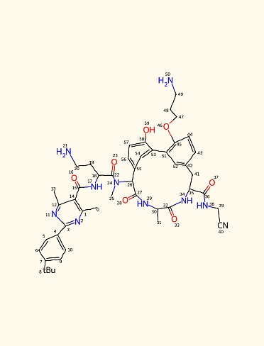 Cc1nc(-c2ccc(C(C)(C)C)cc2)nc(C)c1C(=O)NC(CCN)C(=O)N(C)C1C(=O)NC(C)C(=O)NC(C(=O)NCC#N)Cc2ccc(OCCCN)c(c2)-c2cc1ccc2O